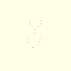 CC1(C)CCC(c2ccccc2)S(=O)(=O)N1